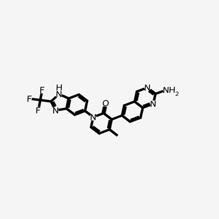 Cc1ccn(-c2ccc3[nH]c(C(F)(F)F)nc3c2)c(=O)c1-c1ccc2nc(N)ncc2c1